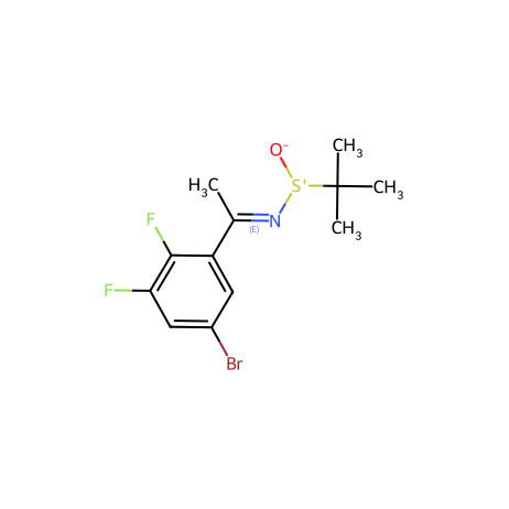 C/C(=N\[S+]([O-])C(C)(C)C)c1cc(Br)cc(F)c1F